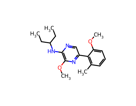 CCC(CC)Nc1ncc(-c2c(C)cccc2OC)nc1OC